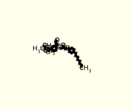 CCCCCCCCc1ccc(OCC(=O)Cn2cc(C=O)c3cc(C(=O)OC(C)(C)C)ccc32)cc1